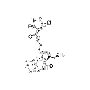 CCc1nn(CCCOC(=O)c2cc(Cl)ccc2F)c2c1C(=O)NCC1(CCOCC1)C2